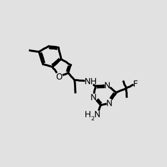 Cc1ccc2cc(C(C)Nc3nc(N)nc(C(C)(C)F)n3)oc2c1